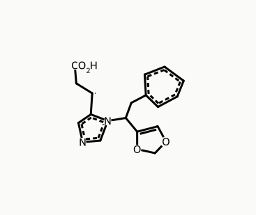 O=C(O)C[CH]c1cncn1C(Cc1ccccc1)C1=COCO1